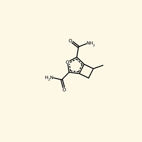 CC1Cc2c(C(N)=O)oc(C(N)=O)c21